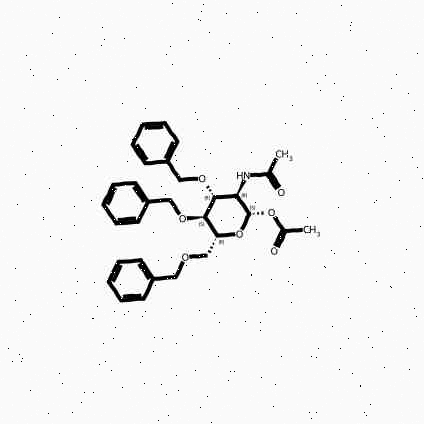 CC(=O)N[C@H]1[C@H](OC(C)=O)O[C@H](COCc2ccccc2)[C@@H](OCc2ccccc2)[C@@H]1OCc1ccccc1